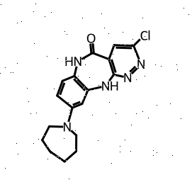 O=C1Nc2ccc(N3CCCCCC3)cc2Nc2nnc(Cl)cc21